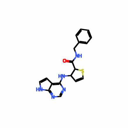 O=C(NCc1ccccc1)C1SC=CC1Nc1ncnc2[nH]ccc12